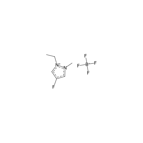 CC[n+]1cc(F)cn1C.F[B-](F)(F)F